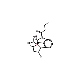 CCCC(=O)N1CC2(C(=O)O)C(C)CC(Br)C2c2cccc1c2C(=O)O